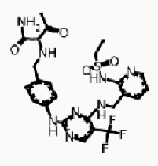 CCS(=O)(=O)Nc1ncccc1CNc1nc(Nc2ccc(CNC(C(C)=O)C(N)=O)cc2)ncc1C(F)(F)F